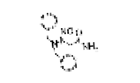 NC(=O)CN(N=O)N(Cc1ccccc1)Cc1ccccc1